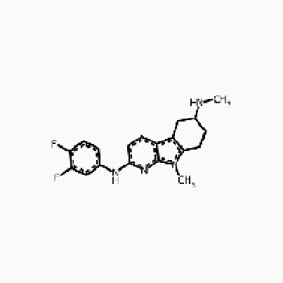 CNC1CCc2c(c3ccc(Nc4ccc(F)c(F)c4)nc3n2C)C1